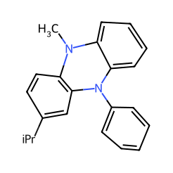 CC(C)c1ccc2c(c1)N(c1ccccc1)c1ccccc1N2C